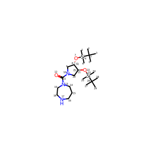 CC(C)(C)[Si](C)(C)O[C@H]1CN(C(=O)N2CCCNCC2)C[C@@H]1O[Si](C)(C)C(C)(C)C